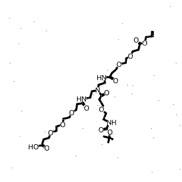 C=CCOC(=O)CCOCCOCCC(=O)NCCN(CCNC(=O)CCOCCOCCOCCC(=O)O)C(=O)CCOCCNC(=O)OC(C)(C)C